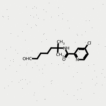 CC(C)(CCCCC=O)NC(=O)c1cc(Cl)ccn1